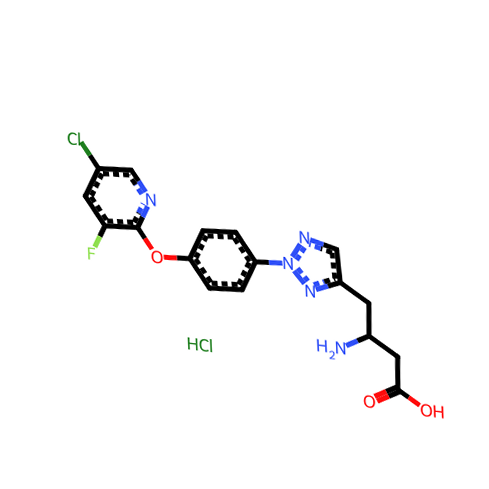 Cl.NC(CC(=O)O)Cc1cnn(-c2ccc(Oc3ncc(Cl)cc3F)cc2)n1